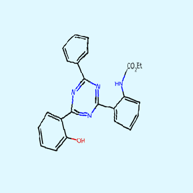 CCOC(=O)Nc1ccccc1-c1nc(-c2ccccc2)nc(-c2ccccc2O)n1